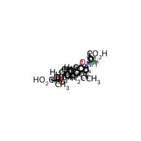 C=C(C)[C@@H]1CC[C@]2(C(=O)NC3CC(C(=O)O)CC3(F)F)CC[C@]3(C)C(CC[C@@H]4[C@@]5(C)CC[C@H](OC(=O)C(C)(C)CC(=O)O)C(C)(C)[C@@H]5CC[C@]43C)C12